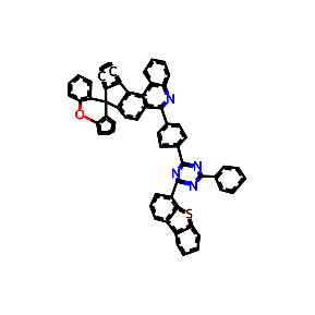 c1ccc(-c2nc(-c3ccc(-c4nc5ccccc5c5c6c(ccc45)C4(c5ccccc5Oc5ccccc54)c4ccccc4-6)cc3)nc(-c3cccc4c3sc3ccccc34)n2)cc1